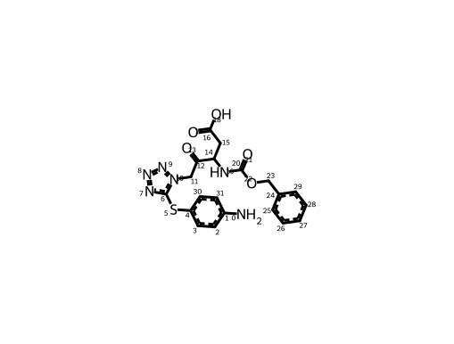 Nc1ccc(Sc2nnnn2CC(=O)C(CC(=O)O)NC(=O)OCc2ccccc2)cc1